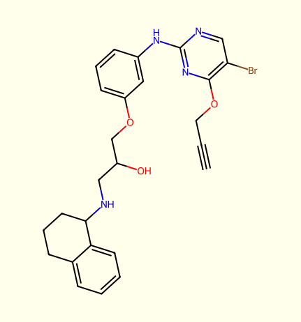 C#CCOc1nc(Nc2cccc(OCC(O)CNC3CCCc4ccccc43)c2)ncc1Br